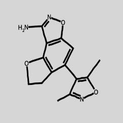 Cc1noc(C)c1-c1cc2onc(N)c2c2c1CCO2